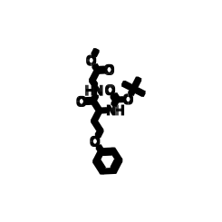 COC(=O)CNC(=O)C(CCOc1ccccc1)NC(=O)OC(C)(C)C